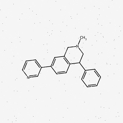 CN1Cc2cc(-c3cccnc3)ccc2C(c2ccccc2)C1